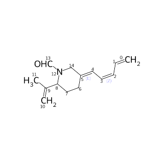 C=C/C=C\C=C1/CCC(C(=C)C)N(C=O)C1